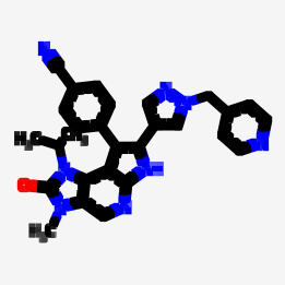 CC(C)n1c(=O)n(C)c2cnc3[nH]c(-c4cnn(Cc5ccncc5)c4)c(-c4ccc(C#N)cc4)c3c21